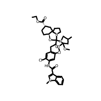 CCOC(=O)[C@H]1CC[C@H](OC(C(=O)Cc2cc(Cl)c(NC(=O)c3cn(C)c4ccccc34)cc2Cl)(N2CCCC2)N2CC(C)CC2(OC)OC)CC1